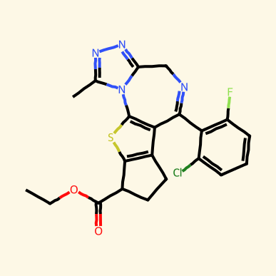 CCOC(=O)C1CCc2c1sc1c2C(c2c(F)cccc2Cl)=NCc2nnc(C)n2-1